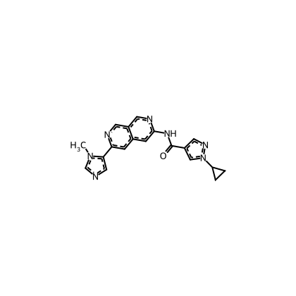 Cn1cncc1-c1cc2cc(NC(=O)c3cnn(C4CC4)c3)ncc2cn1